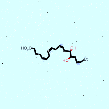 CC/C=C\CC(O)C(O)C/C=C\C/C=C\C/C=C\CCCC(=O)O